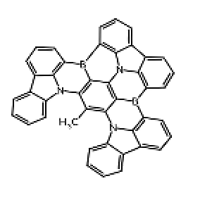 Cc1c2c3c4c5c1-n1c6ccccc6c6cccc(c61)B5c1cccc5c6cccc(c6n-4c15)B3c1cccc3c4ccccc4n-2c13